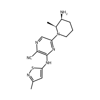 Cc1cc(Nc2nc(N3CCC[C@H](N)[C@@H]3C)cnc2C#N)sn1